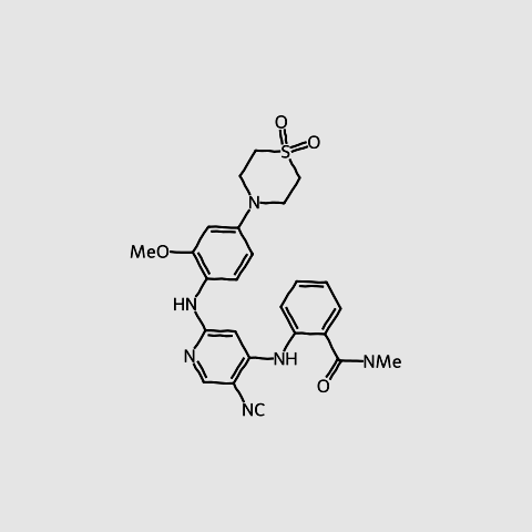 [C-]#[N+]c1cnc(Nc2ccc(N3CCS(=O)(=O)CC3)cc2OC)cc1Nc1ccccc1C(=O)NC